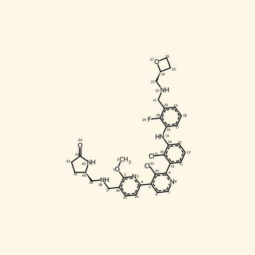 COc1nc(-c2ccnc(-c3cccc(Nc4cccc(CNC[C@@H]5CCO5)c4F)c3Cl)c2Cl)ccc1CNC[C@H]1CCC(=O)N1